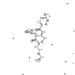 CC(C)(C)Nc1nc(-c2cnc(N)nc2)cc2ccn(CCCCO)c(=O)c12